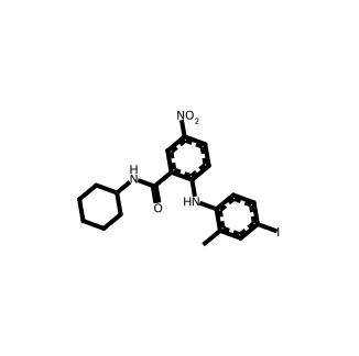 Cc1cc(I)ccc1Nc1ccc([N+](=O)[O-])cc1C(=O)NC1CCCCC1